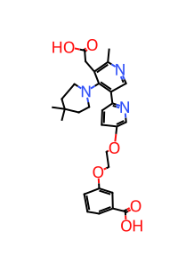 Cc1ncc(-c2ccc(OCCOc3cccc(C(=O)O)c3)cn2)c(N2CCC(C)(C)CC2)c1CC(=O)O